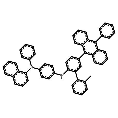 Cc1ccccc1-c1cc(-c2c3ccccc3c(-c3ccccc3)c3ccccc23)ccc1Nc1ccc(N(c2ccccc2)c2cccc3ccccc23)cc1